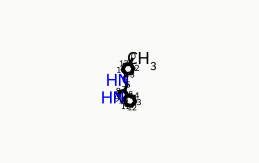 Cc1ccc(NCc2c[nH]c3ccccc23)cc1